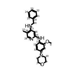 COc1cc(N2CCOCC2)ccc1Nc1cc(NCc2ccccc2)c(C)cn1